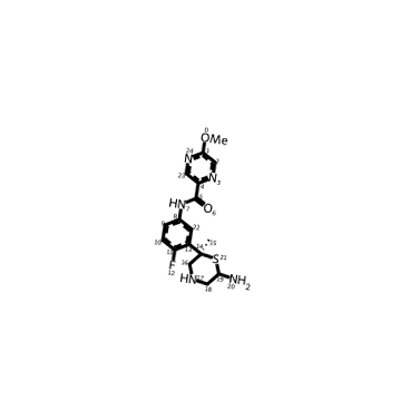 COc1cnc(C(=O)Nc2ccc(F)c([C@]3(C)CNCC(N)S3)c2)cn1